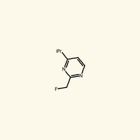 CC(C)c1ccnc(CF)n1